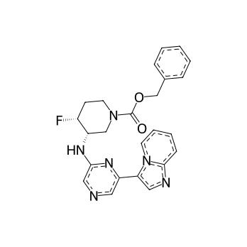 O=C(OCc1ccccc1)N1CC[C@@H](F)[C@@H](Nc2cncc(-c3cnc4ccccn34)n2)C1